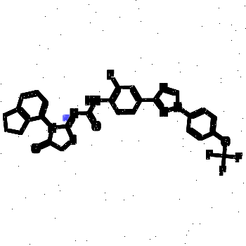 O=C(/N=C1\SCC(=O)N1c1cccc2c1CCC2)Nc1ccc(-c2ncn(-c3ccc(OC(F)(F)F)cc3)n2)cc1F